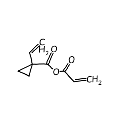 C=CC(=O)OC(=O)C1(C=C)CC1